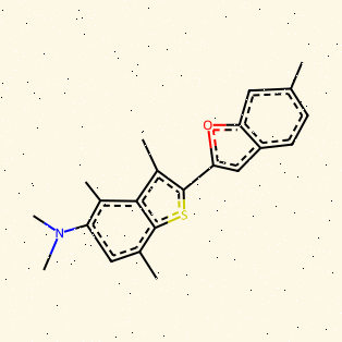 Cc1ccc2cc(-c3sc4c(C)cc(N(C)C)c(C)c4c3C)oc2c1